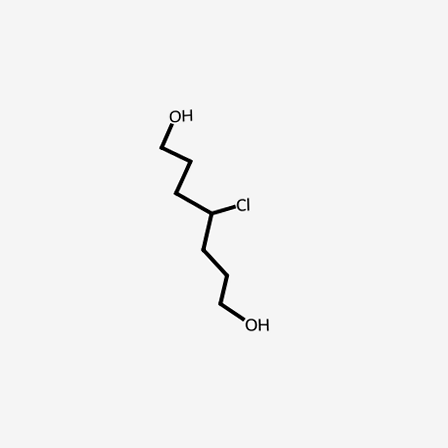 OCCCC(Cl)CCCO